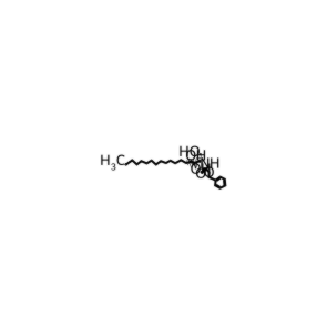 CCCCCCCCCCCCCC[C@@H](O)[C@H](O)[C@H](CO)NC(=O)OCc1ccccc1